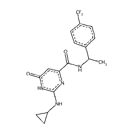 CC(NC(=O)c1cc(=O)[nH]c(NC2CC2)n1)c1ccc(C(F)(F)F)cc1